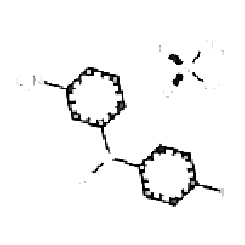 O=S(=O)([O-])C(F)(F)F.O=[N+]([O-])c1cccc([S+](c2ccc(F)cc2)C(F)(F)F)c1